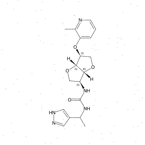 Cc1ncccc1O[C@H]1CO[C@H]2[C@@H]1OC[C@@H]2NC(=O)NC(C)c1cn[nH]c1